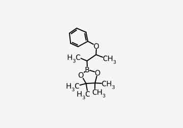 CC(Oc1ccccc1)C(C)B1OC(C)(C)C(C)(C)O1